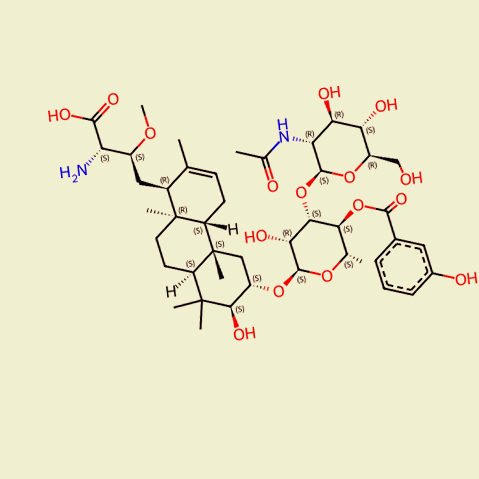 CO[C@@H](C[C@H]1C(C)=CC[C@@H]2[C@]3(C)C[C@H](O[C@@H]4O[C@@H](C)[C@H](OC(=O)c5cccc(O)c5)[C@@H](O[C@@H]5O[C@H](CO)[C@@H](O)[C@H](O)[C@H]5NC(C)=O)[C@H]4O)[C@@H](O)C(C)(C)[C@H]3CC[C@]21C)[C@H](N)C(=O)O